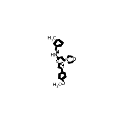 COc1ccc(-c2cc3nc(N/N=C/c4cccc(C)c4)cc(N4CCOCC4)n3n2)cc1